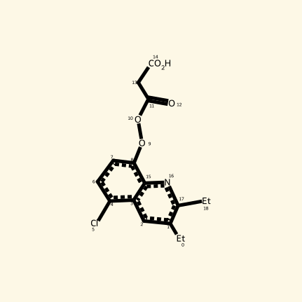 CCc1cc2c(Cl)ccc(OOC(=O)CC(=O)O)c2nc1CC